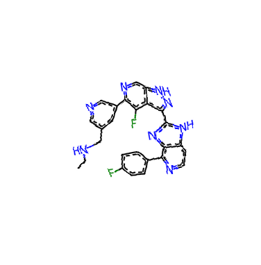 CCNCc1cncc(-c2ncc3[nH]nc(-c4nc5c(-c6ccc(F)cc6)nccc5[nH]4)c3c2F)c1